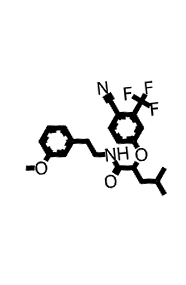 COc1cccc(CCNC(=O)C(CC(C)C)Oc2ccc(C#N)c(C(F)(F)F)c2)c1